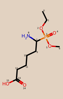 CCOP(=O)(OC)C(N)CCCCC(=O)O